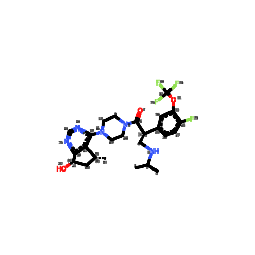 CC(C)NC[C@@H](C(=O)N1CCN(c2ncnc3c2[C@H](C)C[C@H]3O)CC1)c1ccc(F)c(OC(F)(F)F)c1